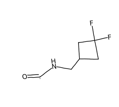 O=[C]NCC1CC(F)(F)C1